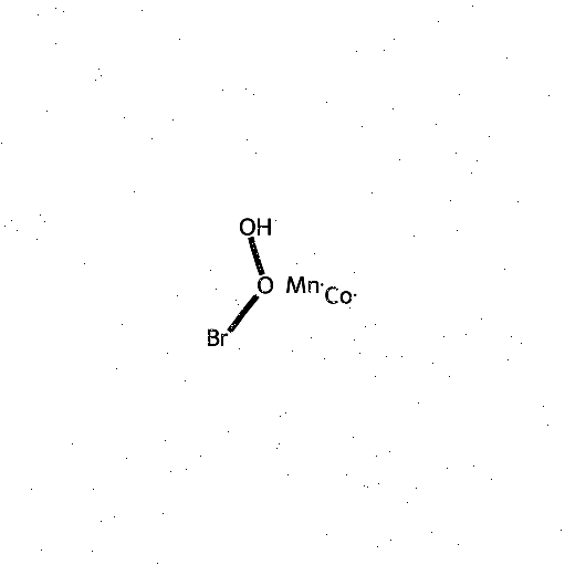 OOBr.[Co].[Mn]